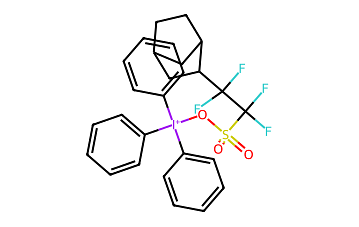 O=S(=O)(O[I+](c1ccccc1)(c1ccccc1)c1ccccc1)C(F)(F)C(F)(F)C1CC2CCC1C2